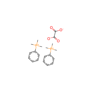 C[P+](C)(C)c1ccccc1.C[P+](C)(C)c1ccccc1.O=C([O-])C(=O)[O-]